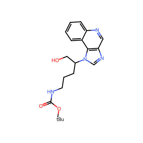 CC(C)(C)OC(=O)NCCCC(CO)n1cnc2cnc3ccccc3c21